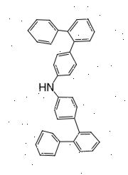 c1ccc(-c2ccccc2-c2ccc(Nc3ccc(-c4ccccc4-c4ccccc4)cc3)cc2)cc1